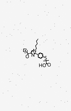 CCCCCn1cc(C(=O)N2CCC2)nc1-c1ccc(SC(C)(C)C(=O)O)cc1